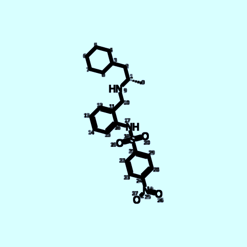 C[C@@H](CC1CCCCC1)NCc1ccccc1NS(=O)(=O)c1ccc([N+](=O)[O-])cc1